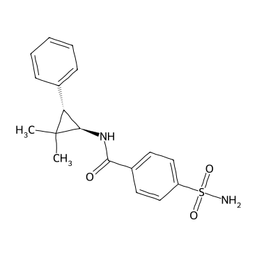 CC1(C)[C@H](NC(=O)c2ccc(S(N)(=O)=O)cc2)[C@H]1c1ccccc1